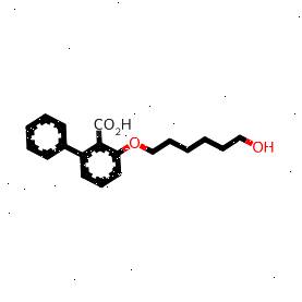 O=C(O)c1c(OCCCCCCO)cccc1-c1ccccc1